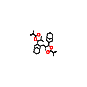 C=C(C)C(=O)OC(C(C)CC1C2CCCC(C2)CC1C(OC(=O)C(=C)C)C(C)C)C1CC2CCCC(C2)C1